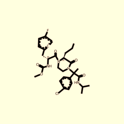 CCC[C@H]1C(=O)N(C(C)(C(=O)NC(C)C)c2ccc(Cl)cc2)CCN1C(=O)[C@@H](Cc1ccc(F)cc1)NC(=O)OC